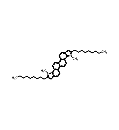 CCCCCCCCCc1cc2ccc3c4ccc5c(ccc6cc(CCCCCCCCC)n(C)c65)c4ccc3c2n1C